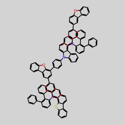 c1ccc(-c2ccccc2-c2c(-c3ccccc3)cccc2N(c2ccc(-c3cc(-c4ccc(-n5c6ccccc6c6c(N(c7ccc(-c8ccc9oc%10ccccc%10c9c8)cc7)c7cccc(-c8ccccc8)c7-c7ccccc7-c7ccccc7)cccc65)cc4)c4oc5ccccc5c4c3)cc2)c2cccc3c2sc2ccccc23)cc1